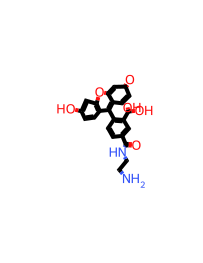 NCCNC(=O)c1ccc(-c2c3ccc(=O)cc-3oc3cc(O)ccc23)c(C(O)O)c1